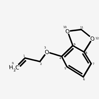 C=CCOc1cccc2c1OCO2